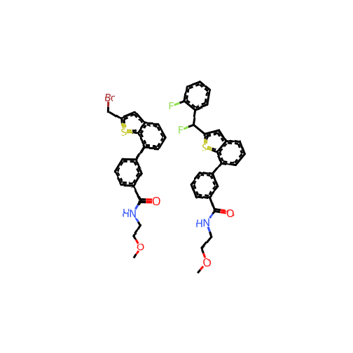 COCCNC(=O)c1cccc(-c2cccc3cc(C(F)c4ccccc4F)sc23)c1.COCCNC(=O)c1cccc(-c2cccc3cc(CBr)sc23)c1